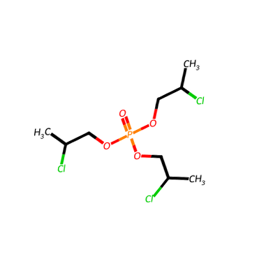 CC(Cl)COP(=O)(OCC(C)Cl)OCC(C)Cl